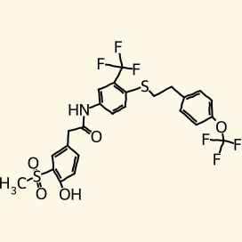 CS(=O)(=O)c1cc(CC(=O)Nc2ccc(SCCc3ccc(OC(F)(F)F)cc3)c(C(F)(F)F)c2)ccc1O